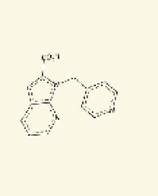 O=C(O)c1cc2cccnc2n1Cc1ccncc1